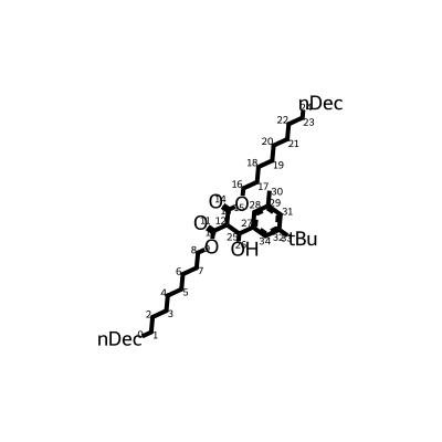 CCCCCCCCCCCCCCCCCCOC(=O)C(C(=O)OCCCCCCCCCCCCCCCCCC)C(O)c1cc(C)cc(C(C)(C)C)c1